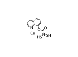 O=C(Oc1cccc2cccnc12)N(S)S.[Cu]